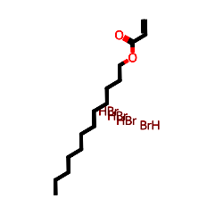 Br.Br.Br.Br.C=CC(=O)OCCCCCCCCCCCC